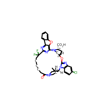 C[C@H]1CN2CC[C@@H]1n1c(nc3cc(Cl)ccc31)O[C@H]1C[C@@H](C(=O)O)N(C1)c1nc(nc3c1oc1ccccc13)C(F)(F)CCCCCC2=O